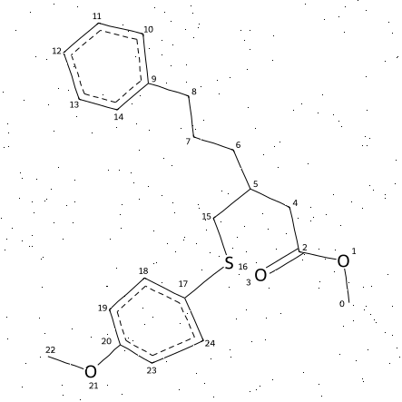 COC(=O)CC(CCCc1ccccc1)CSc1ccc(OC)cc1